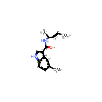 COc1ccc2[nH]cc(C(=O)NC(C)/C=C/C(=O)O)c2c1